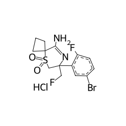 Cl.NC1=NC(CF)(c2cc(Br)ccc2F)CS(=O)(=O)C12CCC2